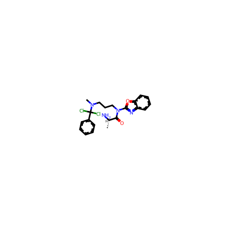 C[C@H](N)C(=O)N(CCCN(C)C(Cl)(Cl)c1ccccc1)c1nc2ccccc2o1